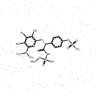 CCc1c(C#N)c(S[C@@H](C(=O)NP(=O)(O)OOC)c2ccc(OS(C)(=O)=O)cc2)nc(N(C)C)c1C#N